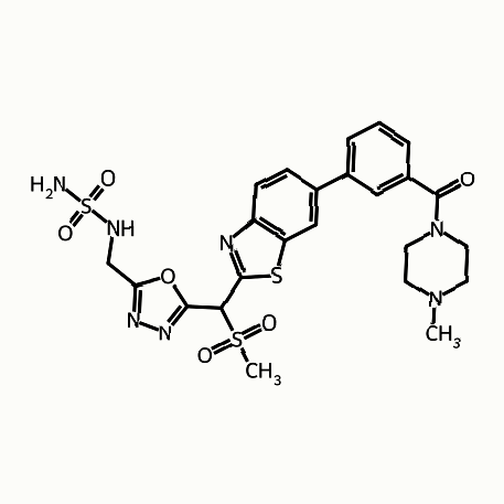 CN1CCN(C(=O)c2cccc(-c3ccc4nc(C(c5nnc(CNS(N)(=O)=O)o5)S(C)(=O)=O)sc4c3)c2)CC1